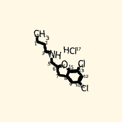 CCCCNCC1Cc2cc(Cl)cc(Cl)c2O1.Cl